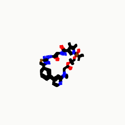 Cc1c(C(=O)NCC(=O)Nc2nc(-c3cccc(-c4ccnc(N(C)CC(=O)OC(C)(C)C)c4)c3)cs2)cn(S(=O)(=O)C(C)C)c1C